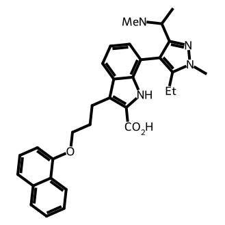 CCc1c(-c2cccc3c(CCCOc4cccc5ccccc45)c(C(=O)O)[nH]c23)c(C(C)NC)nn1C